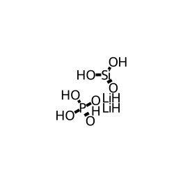 O=P(O)(O)O.O=[Si](O)O.[LiH].[LiH]